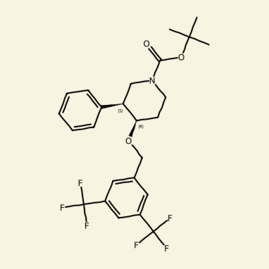 CC(C)(C)OC(=O)N1CC[C@@H](OCc2cc(C(F)(F)F)cc(C(F)(F)F)c2)[C@@H](c2ccccc2)C1